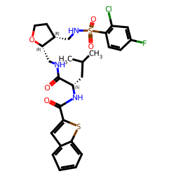 CC(C)C[C@H](NC(=O)c1cc2ccccc2s1)C(=O)NC[C@@H]1OCC[C@@H]1CNS(=O)(=O)c1ccc(F)cc1Cl